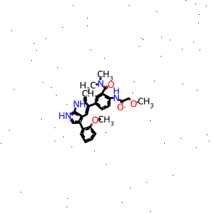 C=C/C(=C\c1c(-c2ccccc2OC)c[nH]c1N)c1ccc(NC(=O)COC)c(C(=O)N(C)C)c1